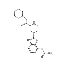 NC(=O)Oc1cccc2[nH]c(C3CCNC(C(=O)OC4CCCCC4)C3)nc12